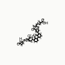 COc1nc(-c2cccc(-c3cccc(-c4cc5c(=O)n(C)c(CN6CC(C(=O)O)C6)nn5c4)c3Cl)c2Cl)ccc1CNC[C@@H]1CCC(=O)N1